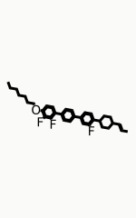 C/C=C/C1CCC(c2ccc(-c3ccc(-c4ccc(OCCCCCCC)c(F)c4F)cc3)cc2F)CC1